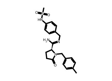 Cc1ccc(CN2C(=O)CC[C@H]2C(N)=NCc2ccc(NS(C)(=O)=O)cc2)cc1